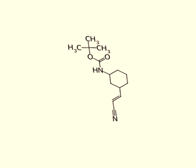 CC(C)(C)OC(=O)NC1CCCC(/C=C/C#N)C1